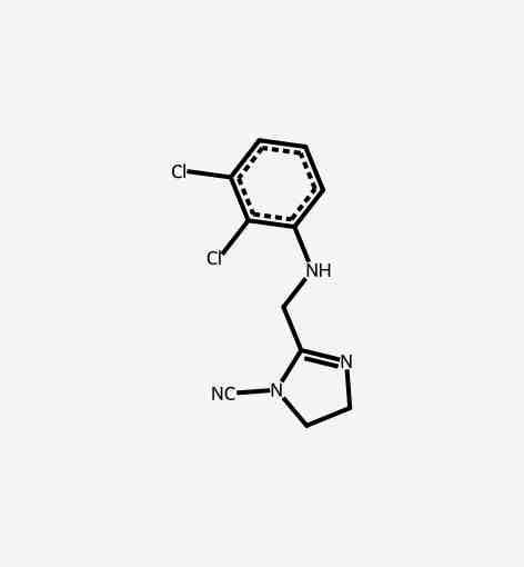 N#CN1CCN=C1CNc1cccc(Cl)c1Cl